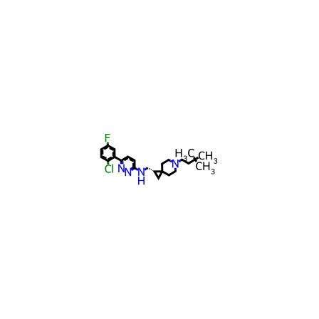 CC(C)(C)CCN1CCC2(CC1)C[C@@H]2CNc1ccc(-c2cc(F)ccc2Cl)nn1